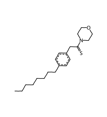 CCCCCCCCc1ccc(CC(=S)N2CCOCC2)cc1